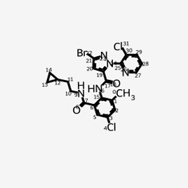 Cc1cc(Cl)cc(C(=O)NCCC2CC2)c1NC(=O)c1cc(Br)nn1-c1ncccc1Cl